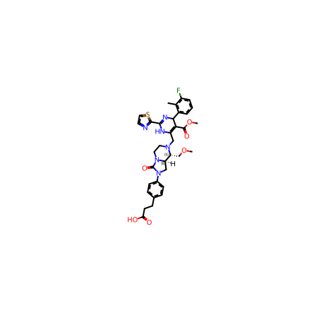 COC[C@@H]1[C@H]2CN(c3ccc(CCC(=O)O)cc3)C(=O)N2CCN1CC1=C(C(=O)OC)C(c2cccc(F)c2C)N=C(c2nccs2)N1